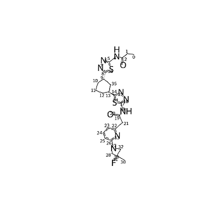 CCC(=O)Nc1nnc([C@H]2CCC[C@H](c3nnc(NC(=O)Cc4cccc(N5CC(C)(F)C5)n4)s3)C2)s1